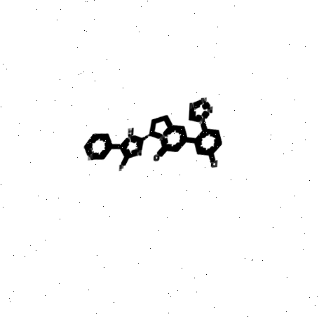 O=c1cc(-c2cc(Cl)ccc2-n2cnnn2)cc2n1[C@H](c1nc(F)c(-c3cc[c]nc3)[nH]1)CC2